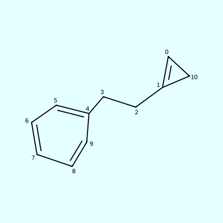 C1=C(CCc2ccccc2)C1